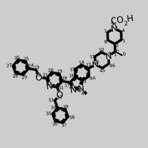 C[C@H](C1CCN(C(=O)O)CC1)N1CCN(c2ccc3c(-c4ccc(OCc5ccccc5)nc4OCc4ccccc4)nn(C)c3c2)CC1